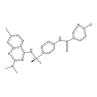 CN(C)c1nc(N[C@@](C)(I)c2ccc(NC(=O)c3ccc(Cl)nc3)cc2)c2ccc(I)cc2n1